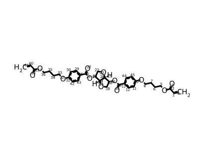 C=CC(=O)OCCCCOc1ccc(C(=O)O[C@H]2CO[C@@H]3[C@H]2OC[C@H]3OC(=O)c2ccc(OCCCCOC(=O)C=C)cc2)cc1